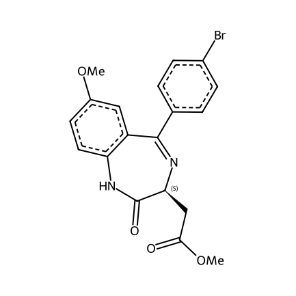 COC(=O)C[C@@H]1N=C(c2ccc(Br)cc2)c2cc(OC)ccc2NC1=O